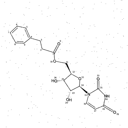 O=C(CCc1ccccc1)OC[C@H]1O[C@@H](n2ccc(=O)[nH]c2=O)[C@H](O)[C@@H]1O